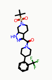 CC(C)(C)S(=O)(=O)N1CCC2C(C(=O)N3CCC(c4ccccc4C(F)(F)F)CC3)=NNC2C1